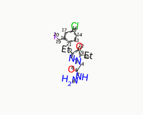 CCc1nn(CC(=O)NN)c(CC)c1Oc1cc(Cl)cc(CI)c1